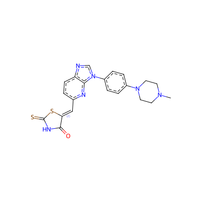 CN1CCN(c2ccc(-n3cnc4ccc(/C=C5\SC(=S)NC5=O)nc43)cc2)CC1